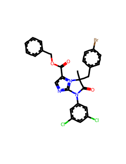 CC1(Cc2ccc(Br)cc2)C(=O)N(c2cc(Cl)cc(Cl)c2)c2ncc(C(=O)OCc3ccccc3)n21